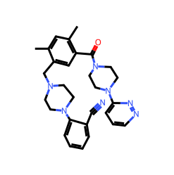 Cc1cc(C)c(C(=O)N2CCN(c3cccnn3)CC2)cc1CN1CCN(c2ccccc2C#N)CC1